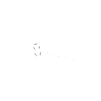 COCCOCCOCCOc1cc(C)cc2c(C)cc(C)cc12